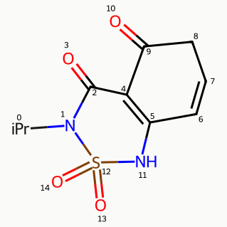 CC(C)N1C(=O)C2=C(C=CCC2=O)NS1(=O)=O